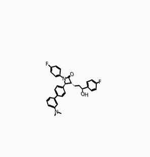 CN(C)c1cccc(-c2ccc([C@@H]3[C@@H](CC[C@H](O)c4ccc(F)cc4)C(=O)N3c3ccc(F)cc3)cc2)c1